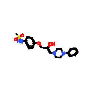 CS(=O)(=O)Nc1ccc(OCC(O)CN2CCN(c3ccccc3)CC2)cc1